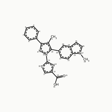 Cc1c(-c2ccccc2)nn(-c2nc(C(=O)O)cs2)c1-c1ccc2c(ccn2C)c1